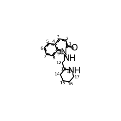 O=c1ccc2ccccc2n1NCC1CCCCN1